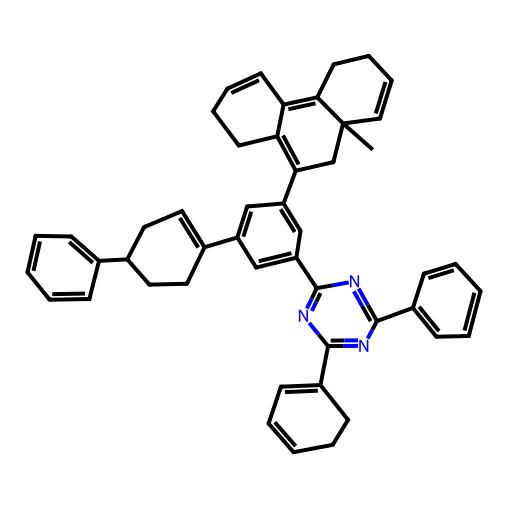 CC12C=CCCC1=C1C=CCCC1=C(c1cc(C3=CCC(c4ccccc4)CC3)cc(-c3nc(C4=CC=CCC4)nc(-c4ccccc4)n3)c1)C2